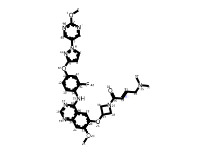 COc1ncc(-n2ccc(Oc3ccc(Nc4ncnc5cc(OC)c(OC6CN(C(=O)/C=C/CN(C)C)C6)cc45)c(F)c3)n2)cn1